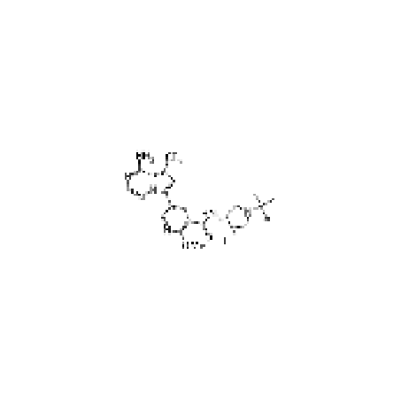 COc1ncc(-c2cc(C(F)(F)F)c3c(N)ncnn23)cc1C(=O)N[C@@H]1CN(C(C)(C)C(C)=O)C[C@@H]1F